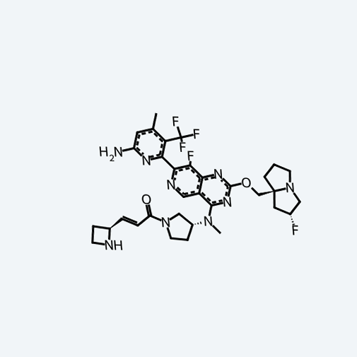 Cc1cc(N)nc(-c2ncc3c(N(C)[C@@H]4CCN(C(=O)/C=C/[C@@H]5CCN5)C4)nc(OC[C@@]45CCCN4C[C@H](F)C5)nc3c2F)c1C(F)(F)F